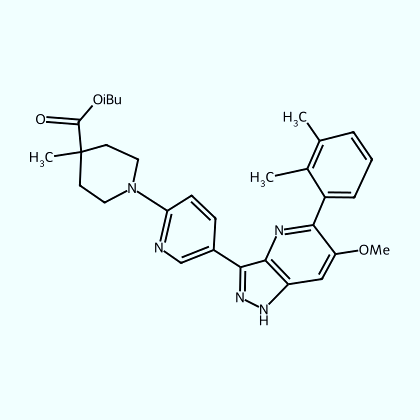 COc1cc2[nH]nc(-c3ccc(N4CCC(C)(C(=O)OCC(C)C)CC4)nc3)c2nc1-c1cccc(C)c1C